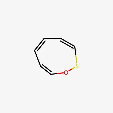 c1cccsocc1